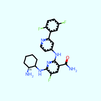 NC(=O)c1cc(F)c(NC2CCCC[C@@H]2N)nc1Nc1ccnc(-c2cc(F)ccc2F)c1